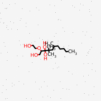 CCCCCC(C)CC(C)(C)C(O)(O)C(CO)OCCO